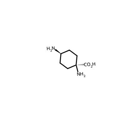 N[C@H]1CC[C@](N)(C(=O)O)CC1